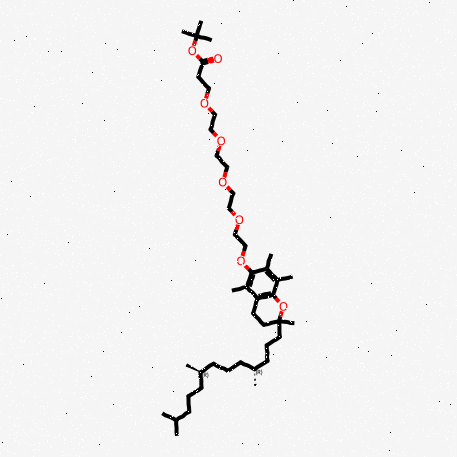 Cc1c(C)c2c(c(C)c1OCCOCCOCCOCCOCCC(=O)OC(C)(C)C)CCC(C)(CCC[C@H](C)CCC[C@H](C)CCCC(C)C)O2